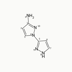 Nc1ccn(-c2cc[nH]n2)n1